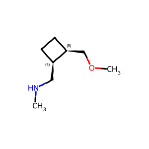 CNC[C@H]1CC[C@H]1COC